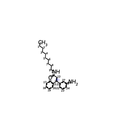 CCCCCCCCCCNC(=O)/C=C(\c1ccccc1)c1cccc(N)c1